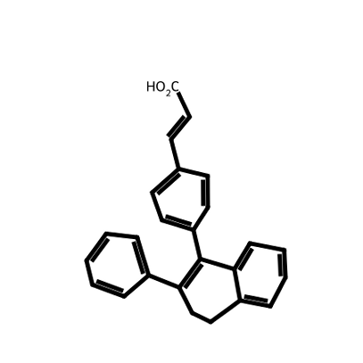 O=C(O)C=Cc1ccc(C2=C(c3ccccc3)CCc3ccccc32)cc1